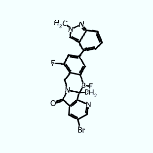 BC12B(F)c3cc(-c4cccc5nn(C)cc45)cc(F)c3CN1C(=O)c1cc(Br)cnc12